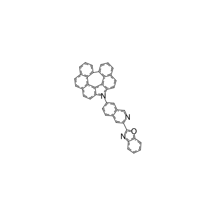 c1cc2c3c(c1)ccc1ccc4c(c13)c1c3c-2cccc3ccc1n4-c1ccc2cc(-c3nc4ccccc4o3)ncc2c1